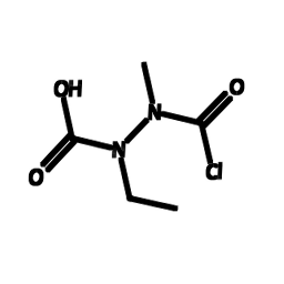 CCN(C(=O)O)N(C)C(=O)Cl